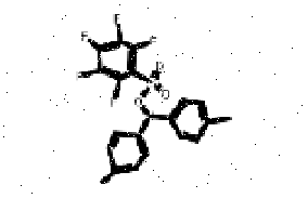 Cc1ccc([I+](OS(=O)(=O)c2c(F)c(F)c(F)c(F)c2F)c2ccc(C)cc2)cc1